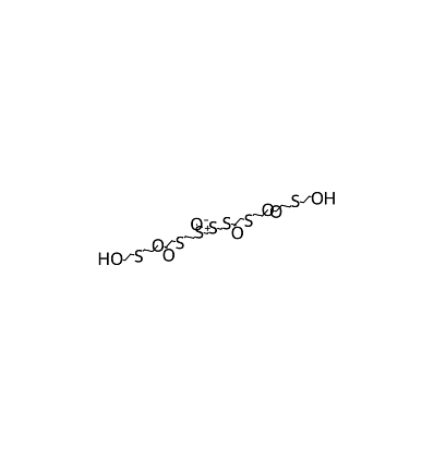 O=C(CSCC[S+]([O-])CSCSC(=O)CSCCOOCCSCCO)OCCSCCO